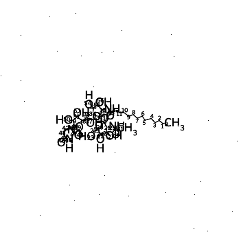 CCCCCCCCCCC/C=C/C(=O)N[C@H]1[C@H](O[C@H]2O[C@H](CO)[C@@H](O)[C@H](O)[C@H]2NC(C)=O)O[C@H](C[C@@H](O)[C@H]2O[C@@H](n3ccc(=O)[nH]c3=O)[C@H](O)[C@@H]2O)[C@H](O)[C@@H]1O